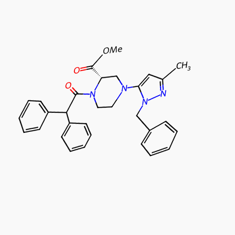 COC(=O)[C@@H]1CN(c2cc(C)nn2Cc2ccccc2)CCN1C(=O)C(c1ccccc1)c1ccccc1